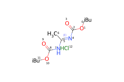 CCC(C)OC(=O)/N=C(\C)NC(=O)OC(C)CC.Cl